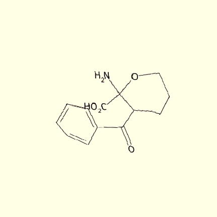 NC1(C(=O)O)OCCCC1C(=O)c1ccccc1